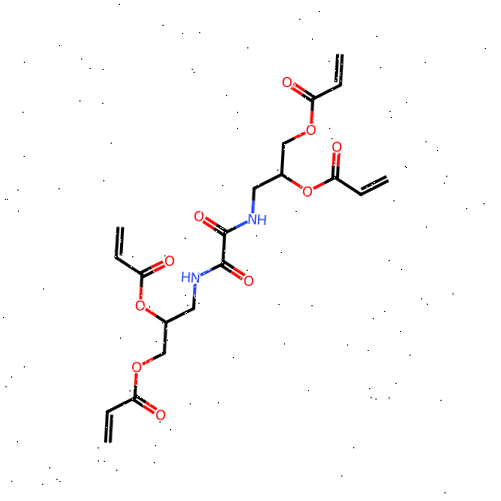 C=CC(=O)OCC(CNC(=O)C(=O)NCC(COC(=O)C=C)OC(=O)C=C)OC(=O)C=C